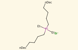 CCCCCCCCCCCCCC[P+](CC)(CC)CCCCCCCCCCCCCC.[Br-]